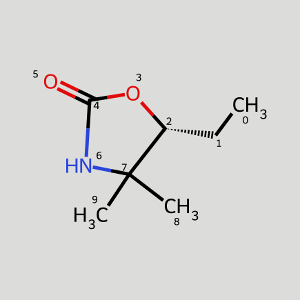 CC[C@H]1OC(=O)NC1(C)C